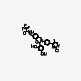 Cc1cnc(Cl)nc1-c1ccc(N(Cc2ccc(CNC(=O)C(F)(F)F)cc2)C(=O)c2ccc(O)cc2O)cc1